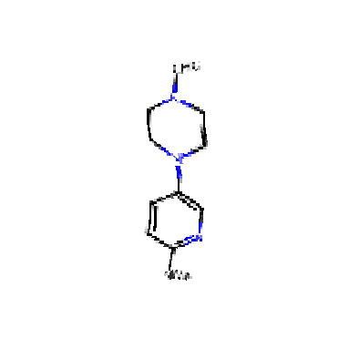 CNc1ccc(N2CCN(C=O)CC2)cn1